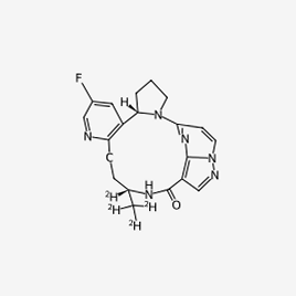 [2H]C([2H])([2H])[C@]1([2H])CCc2ncc(F)cc2[C@@H]2CCCN2c2ccn3ncc(c3n2)C(=O)N1